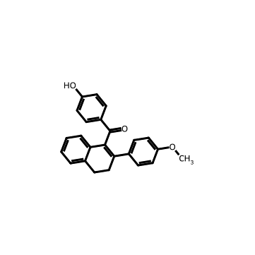 COc1ccc(C2=C(C(=O)c3ccc(O)cc3)c3ccccc3CC2)cc1